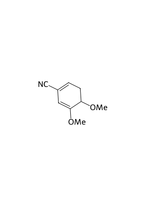 COC1=CC(C#N)=CCC1OC